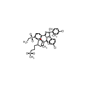 CCOc1cc(S(=O)(=O)CC)ccc1C1=N[C@@](C)(c2ccc(Cl)cc2)[C@@](C)(c2ccc(Cl)cc2)N1C(=O)N1CCN(CCCS(C)(=O)=O)CC1